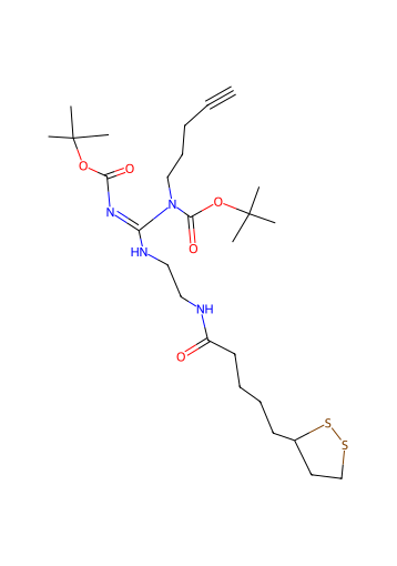 C#CCCCN(C(=O)OC(C)(C)C)/C(=N\C(=O)OC(C)(C)C)NCCNC(=O)CCCCC1CCSS1